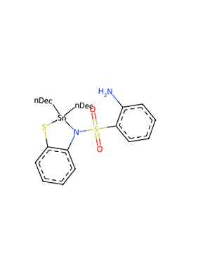 CCCCCCCCC[CH2][Sn]1([CH2]CCCCCCCCC)[S]c2ccccc2[N]1S(=O)(=O)c1ccccc1N